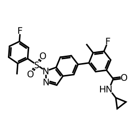 Cc1ccc(F)cc1S(=O)(=O)n1ncc2cc(-c3cc(C(=O)NC4CC4)cc(F)c3C)ccc21